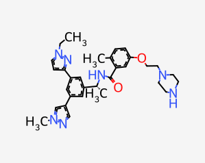 CCn1ccc(-c2cc(-c3cnn(C)c3)cc([C@@H](C)NC(=O)c3cc(OCCN4CCNCC4)ccc3C)c2)n1